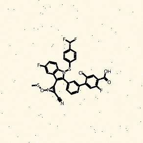 CSON1C(C#N)=C1c1c(-c2cccc(-c3cc(F)c(C(=O)O)cc3Cl)c2)n(Sc2ccc(C(F)F)cc2)c2ccc(F)cc12